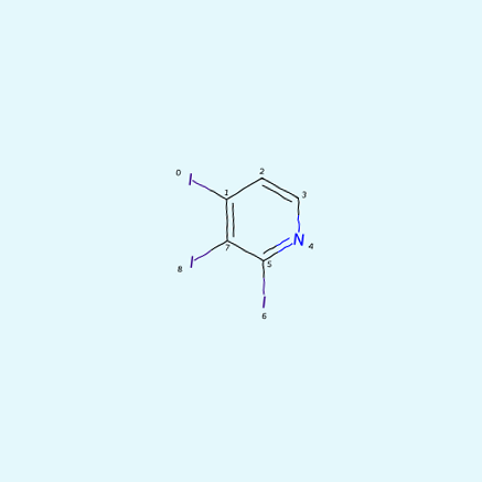 Ic1ccnc(I)c1I